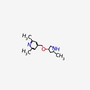 Cc1cc(CO[C@H]2CN[C@@H](C)C2)cc(C)n1